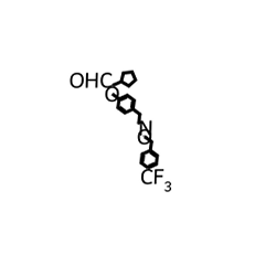 O=CC(Oc1ccc(CC=NOCc2ccc(C(F)(F)F)cc2)cc1)C1CCCC1